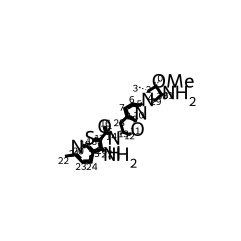 CO[C@H]1[C@@H](C)N(c2ccc3c(n2)OC[C@H](NC(=O)c2sc4nc(C)ccc4c2N)C3)C[C@@H]1N